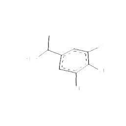 CC([SiH3])c1cc(Cl)c(Cl)c(Cl)c1